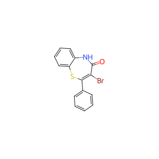 O=C1Nc2ccccc2SC(c2ccccc2)=C1Br